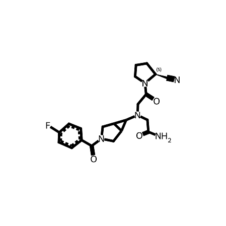 N#C[C@@H]1CCCN1C(=O)CN(CC(N)=O)C1C2CN(C(=O)c3ccc(F)cc3)CC21